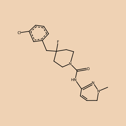 CN1CC=CC(NC(=O)N2CCC(F)(Cc3cccc(Cl)c3)CC2)=N1